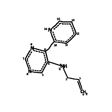 C=CCNc1cn[c]nc1-c1ccccn1